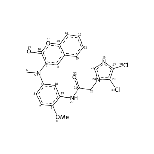 COc1ccc(N(C)c2cc3ccccc3oc2=O)cc1NC(=O)Cn1cnc(Cl)c1Cl